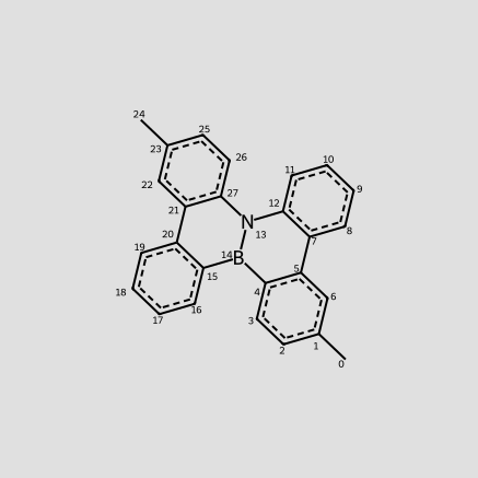 Cc1ccc2c(c1)-c1ccccc1N1B2c2ccccc2-c2cc(C)ccc21